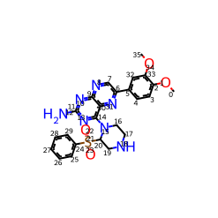 COc1ccc(-c2cnc3nc(N)nc(N4CCNCC4S(=O)(=O)c4ccccc4)c3n2)cc1OC